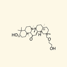 CC1(C)C2CC[C@]3(C)C(C(=O)C=C4[C@@H]5C[C@@](C)(COCCO)CC[C@]5(C)CC[C@]43C)[C@@]2(C)CC[C@@H]1O